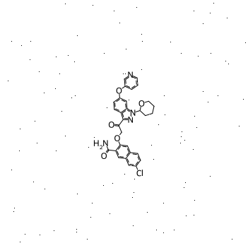 NC(=O)c1cc2cc(Cl)ccc2cc1OCC(=O)c1nn(C2CCCCO2)c2cc(Oc3cccnc3)ccc12